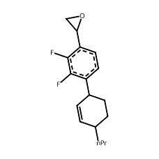 CCCC1C=CC(c2ccc(C3CO3)c(F)c2F)CC1